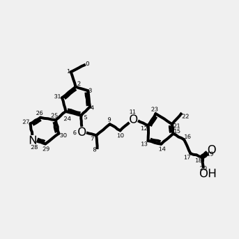 CCc1ccc(OC(C)CCOc2ccc(CCC(=O)O)c(C)c2)c(-c2ccncc2)c1